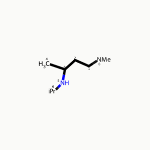 CNCCC(C)NC(C)C